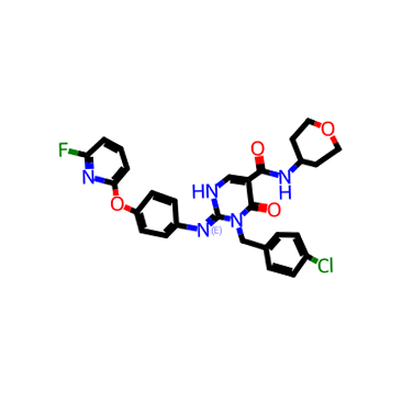 O=C(NC1CCOCC1)c1c[nH]/c(=N\c2ccc(Oc3cccc(F)n3)cc2)n(Cc2ccc(Cl)cc2)c1=O